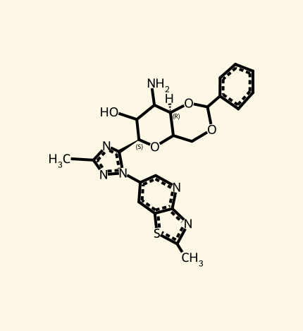 Cc1nc([C@@H]2OC3COC(c4ccccc4)O[C@@H]3C(N)C2O)n(-c2cnc3nc(C)sc3c2)n1